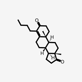 CCCCC1=C2CC[C@@H]3[C@H](CC[C@]4(C)C(=O)CC[C@@H]34)[C@@]2(C)CCC1=O